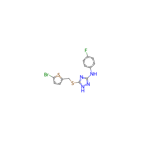 Fc1ccc(Nc2n[nH]c(SCc3ccc(Br)s3)n2)cc1